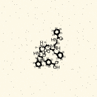 C[C@H](NC(=O)[C@H](C)NC(=O)[C@H](Cc1ccccc1)NCCNC(=O)c1ccccc1)C(=O)N[C@@H](Cc1ccccc1)C(=O)Nc1ccc(C(=O)O)cc1